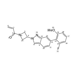 C=CC(=O)N1CC(n2cc3ccc(-c4c(F)cccc4OC)cc3n2)C1